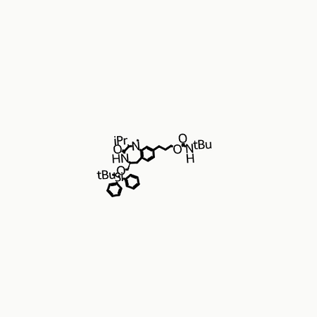 CC(C)[C@H]1C(=O)N[C@H](CO[Si](c2ccccc2)(c2ccccc2)C(C)(C)C)Cc2ccc(CCCOC(=O)NC(C)(C)C)cc2N1C